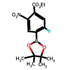 CCOC(=O)c1cc(F)c(B2OC(C)(C)C(C)(C)O2)cc1[N+](=O)[O-]